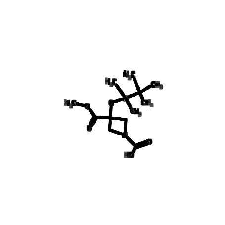 COC(=O)C1(O[Si](C)(C)C(C)(C)C)CN(C(=O)O)C1